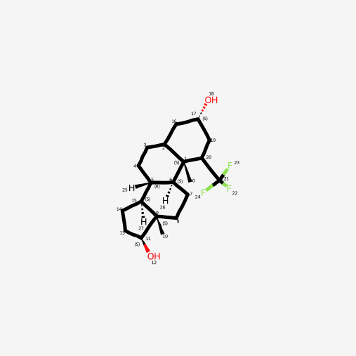 C[C@]12C(CC[C@@H]3[C@@H]1CC[C@]1(C)[C@@H](O)CC[C@@H]31)C[C@H](O)CC2C(F)(F)F